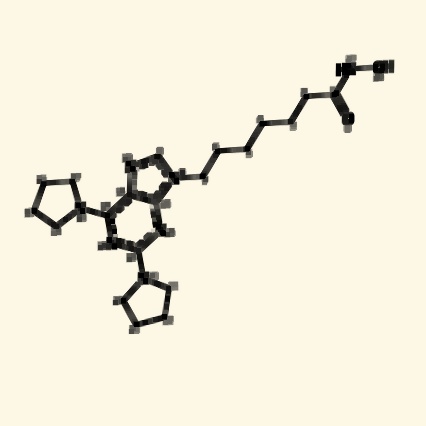 O=C(CCCCCCn1cnc2c(N3CCCC3)nc(N3CCCC3)nc21)NO